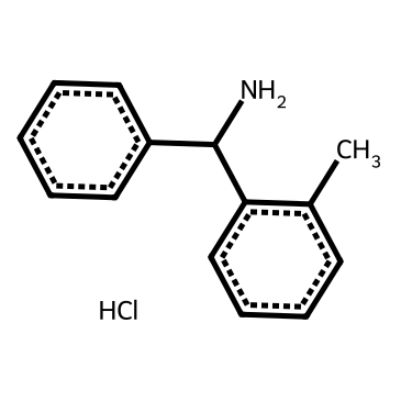 Cc1ccccc1C(N)c1ccccc1.Cl